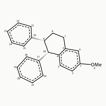 COc1ccc2c(c1)CC[C@@H](c1ccccc1)[C@H]2c1ccccc1